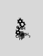 Cc1ccc(C(=O)N[C@H]2CCCc3ccccc3C2)cc1NS(C)(=O)=O